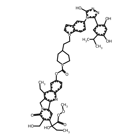 CCc1c2c(nc3ccc(OC(=O)N4CCC(CCn5ccc6cc(-n7c(O)nnc7-c7cc(C(C)C)c(O)cc7O)ccc65)CC4)cc13)-c1cc([C@@](O)(CC)C(=O)OOC)c(CO)c(=O)n1C2